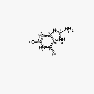 Nc1nc2[nH]c(=O)[nH]c(=S)c2[nH]1